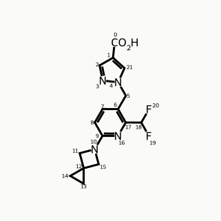 O=C(O)c1cnn(Cc2ccc(N3CC4(CC4)C3)nc2C(F)F)c1